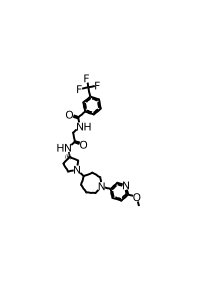 COc1ccc(N2CCCC(N3CC[C@@H](NC(=O)CNC(=O)c4cccc(C(F)(F)F)c4)C3)CC2)cn1